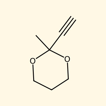 C#CC1(C)OCCCO1